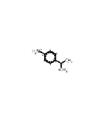 CC(C)c1ccc([SiH2])cc1